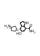 Cl.NC(=O)c1ccc([C@@H]2CC[C@@H](N)C2)c2cc[nH]c12